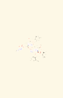 CN(C)C(=O)Oc1ccc(C[C@H](NC(=O)CC[C@H](NC(=O)OCc2ccccc2)C(=O)OCc2ccccc2)C(=O)OCc2ccccc2)cc1OC(=O)N(C)C